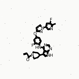 C=CC(=O)N1CCC(c2c[nH]c3ncnc(Nc4ccc(Oc5ccn(-c6cnc(C)c(F)c6)n5)cc4F)c23)CC1